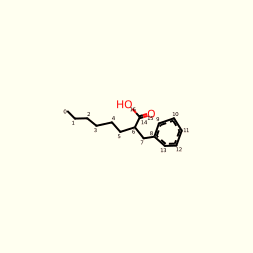 CCCCCCC(Cc1ccccc1)C(=O)O